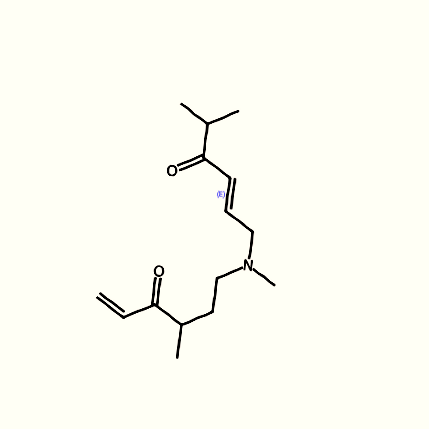 C=CC(=O)C(C)CCN(C)C/C=C/C(=O)C(C)C